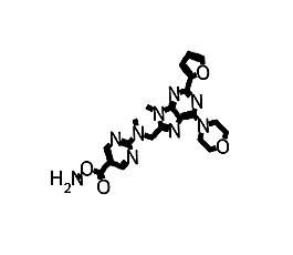 CN(Cc1nc2c(N3CCOCC3)nc(-c3ccco3)nc2n1C)c1ncc(C(=O)ON)cn1